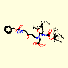 CC(C)CC(NC(=O)OC(C)(C)C)C(=O)N(CCC(=O)CNC(=O)OCc1ccccc1)CC(=O)O